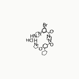 Cl.O=C(c1cc(Br)cc(N2CCNCC2)c1)N1CCN(C(=O)c2ccc(OC3CCNC3)c(C3CCCCC3)c2)CC1